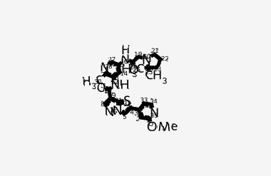 COc1cc(-c2cn3ncc(C(=O)Nc4cc(NC(=O)CN5CCCC5(C)C)cnc4C)c3s2)ccn1